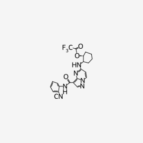 N#Cc1ccccc1NC(=O)c1cnn2ccc(N[C@@H]3CCCC[C@@H]3OC(=O)C(F)(F)F)nc12